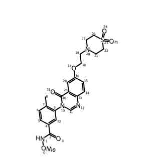 CONC(=O)c1ccc(C)c(-n2cnc3ccc(OCCN4CCS(=O)(=O)CC4)cc3c2=O)c1